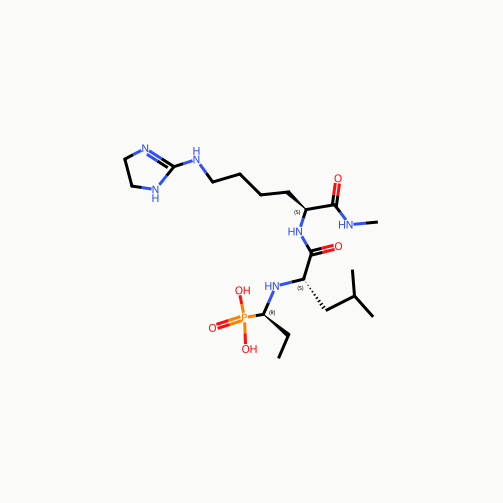 CC[C@H](N[C@@H](CC(C)C)C(=O)N[C@@H](CCCCNC1=NCCN1)C(=O)NC)P(=O)(O)O